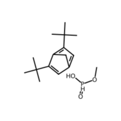 CC(C)(C)C1=CC2=CC(C(C)(C)C)=C1C2.CO[PH](=O)O